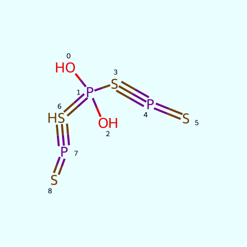 OP(O)(S#P=S)=[SH]#P=S